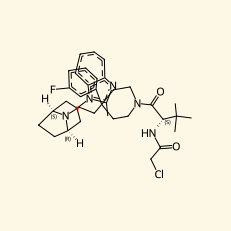 Cc1nc2ccccc2n1C1C[C@H]2CC[C@@H](C1)N2CCC1(c2cccc(F)c2)CCN(C(=O)[C@@H](NC(=O)CCl)C(C)(C)C)CC1